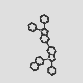 c1ccc(-c2cc3cc(-c4ccc5cc(-c6ccccc6)n(-c6ccc7ccccc7c6)c5c4)ccc3n2-c2ccccc2)cc1